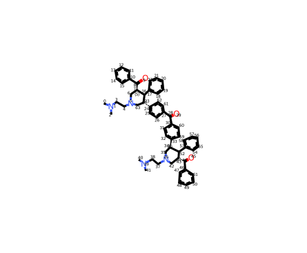 CN(C)CCN1C[C@@H](C(=O)c2ccccc2)C(c2ccccc2)[C@H](c2ccc(C(=O)c3ccc([C@@H]4CN(CCN(C)C)C[C@@H](C(=O)c5ccccc5)C4c4ccccc4)cc3)cc2)C1